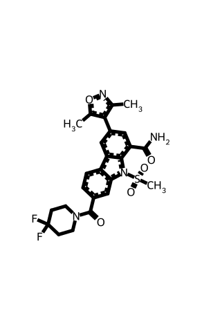 Cc1noc(C)c1-c1cc(C(N)=O)c2c(c1)c1ccc(C(=O)N3CCC(F)(F)CC3)cc1n2S(C)(=O)=O